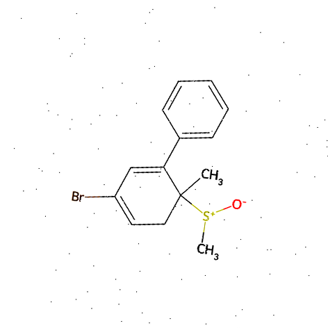 C[S+]([O-])C1(C)CC=C(Br)C=C1c1ccccc1